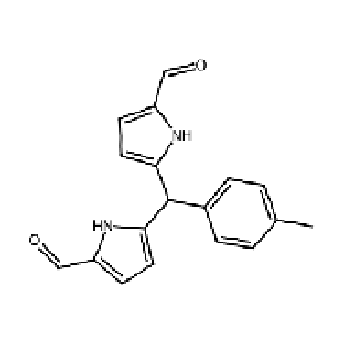 Cc1ccc(C(c2ccc(C=O)[nH]2)c2ccc(C=O)[nH]2)cc1